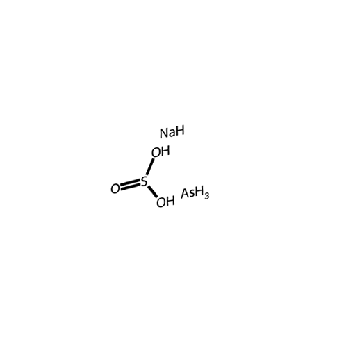 O=S(O)O.[AsH3].[NaH]